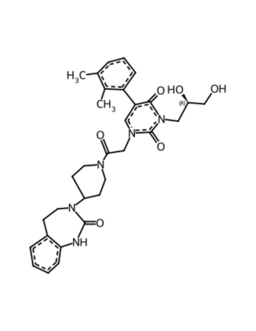 Cc1cccc(-c2cn(CC(=O)N3CCC(N4CCc5ccccc5NC4=O)CC3)c(=O)n(C[C@@H](O)CO)c2=O)c1C